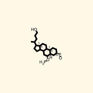 CC(CCCO)C1CCC2C3C[C@H](OP)[C@@H]4C[C@H](P=O)CC[C@]4(C)C3CC[C@]12C